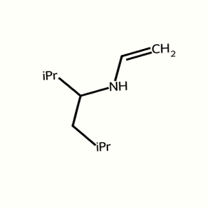 C=CNC(CC(C)C)C(C)C